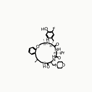 CC(C)[C@H]1NC(=O)[C@@H](Cc2ccc(O)c(F)c2)N[C@@H](C)COc2ccccc2C[C@H](C)CNC(=O)[C@H](CN2CCOCC2)NC1=O